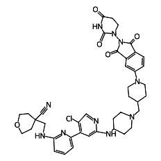 N#CC1(CNc2cccc(-c3cc(NC4CCN(CC5CCN(c6ccc7c(c6)C(=O)N(N6CCC(=O)NC6=O)C7=O)CC5)CC4)ncc3Cl)n2)CCOCC1